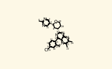 Cc1ncc([C@@H]2C[C@@H](c3nc(-c4ccc(Cl)cc4F)c4nc(C)c(C)nc4n3)CCO2)cn1